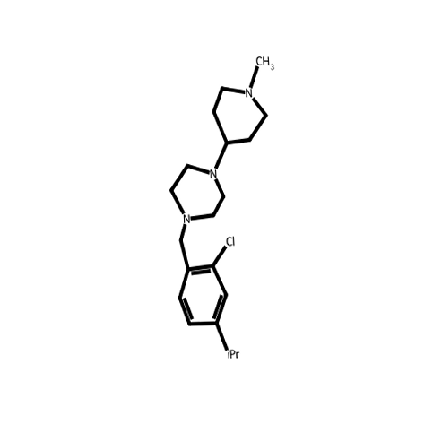 CC(C)c1ccc(CN2CCN(C3CCN(C)CC3)CC2)c(Cl)c1